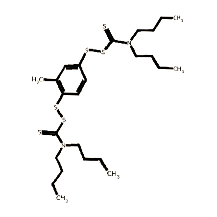 CCCCN(CCCC)C(=S)SSc1ccc(SSC(=S)N(CCCC)CCCC)c(C)c1